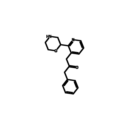 O=C(Cc1ccccc1)Cc1cccnc1C1CNCCO1